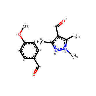 COc1ccc(C=O)cc1.Cc1nn(C)c(C)c1C=O